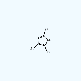 CCC(C)c1nc(C(C)(C)C)c(C(C)C)[nH]1